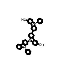 Oc1ccc2c(c1)c1cc(-c3ccc4c(c3)c3cc(O)ccc3n4-c3ccc4c5ccccc5n(-c5ccccc5)c4c3)ccc1n2-c1ccccc1